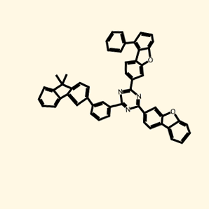 CC1(C)c2ccccc2-c2cc(-c3cccc(-c4nc(-c5ccc6c(c5)oc5ccccc56)nc(-c5ccc6c(c5)oc5cccc(-c7ccccc7)c56)n4)c3)ccc21